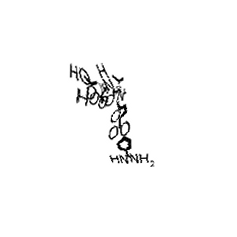 CC(C)[C@@H](C(=O)N[C@@H](CC(=O)O)C(=O)O)N(C)Cc1ccc(C(=O)Oc2ccc(C(=N)N)cc2)o1